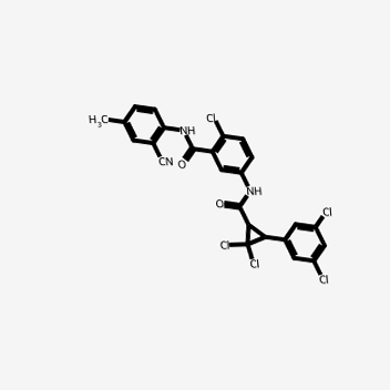 Cc1ccc(NC(=O)c2cc(NC(=O)C3C(c4cc(Cl)cc(Cl)c4)C3(Cl)Cl)ccc2Cl)c(C#N)c1